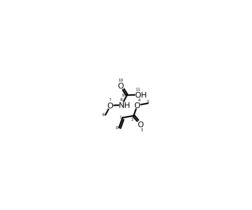 C=CC(=O)OC.CONC(=O)O